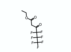 CCOC(=O)CC(=O)C(F)(F)C(F)(F)C(F)(F)F